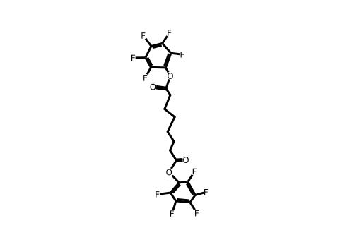 O=C(CCCCCCC(=O)Oc1c(F)c(F)c(F)c(F)c1F)Oc1c(F)c(F)c(F)c(F)c1F